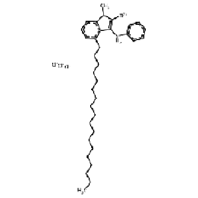 CCCCCCCCCCCCCCCCCCc1cccc2c1C([SiH2]c1ccccc1)=[C]([Ti+3])C2C.[Cl-].[Cl-].[Cl-]